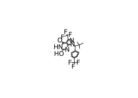 CC(C)(C)C(c1ccc(C(F)(F)F)cc1)n1nc(C(F)(F)F)c2c(=O)[nH]c(O)nc21